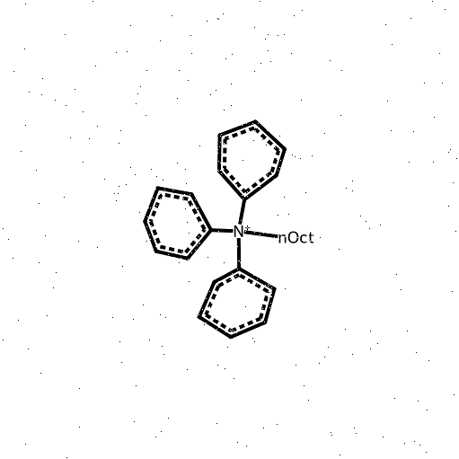 CCCCCCCC[N+](c1ccccc1)(c1ccccc1)c1ccccc1